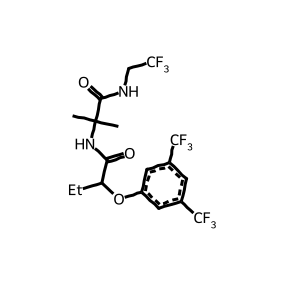 CCC(Oc1cc(C(F)(F)F)cc(C(F)(F)F)c1)C(=O)NC(C)(C)C(=O)NCC(F)(F)F